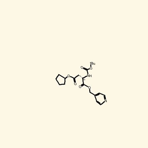 CC(C)(C)OC(=O)N[C@@H](CC(=O)OC1CCCC1)C(=O)OCc1ccncc1